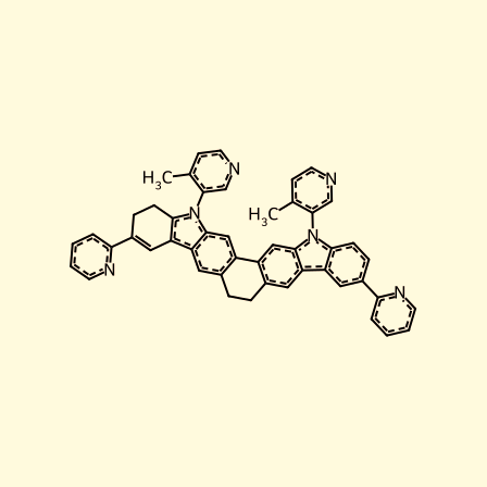 Cc1ccncc1-n1c2c(c3cc4c(cc31)-c1cc3c(cc1CC4)c1cc(-c4ccccn4)ccc1n3-c1cnccc1C)C=C(c1ccccn1)CC2